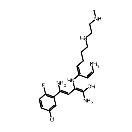 CNCCNCCC/C=C(\C=C/N)NC(/C=C(\N)c1cc(Cl)ccc1F)=C(/N)O